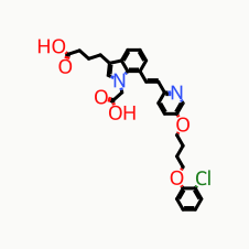 O=C(O)CCCc1cn(CC(=O)O)c2c(C=Cc3ccc(OCCCCOc4ccccc4Cl)cn3)cccc12